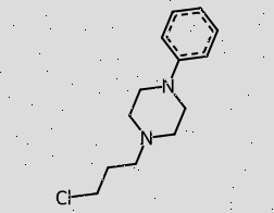 ClCCCN1CCN(c2ccccc2)CC1